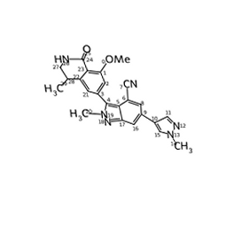 COc1cc(-c2c3c(C#N)cc(-c4cnn(C)c4)cc3nn2C)cc2c1C(=O)NCC2C